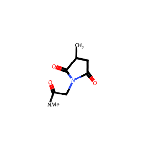 CNC(=O)CN1C(=O)CC(C)C1=O